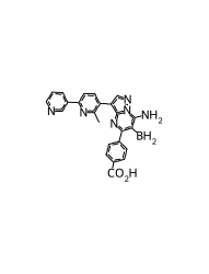 Bc1c(-c2ccc(C(=O)O)cc2)nc2c(-c3ccc(-c4cccnc4)nc3C)cnn2c1N